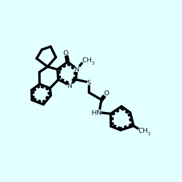 Cc1ccc(NC(=O)CSc2nc3c(c(=O)n2C)C2(CCCC2)Cc2ccccc2-3)cc1